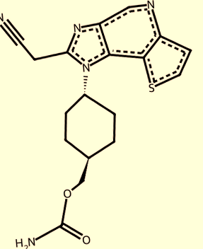 N#CCc1nc2cnc3ccsc3c2n1[C@H]1CC[C@H](COC(N)=O)CC1